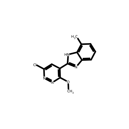 COc1nnc(Cl)cc1-c1nc2cccc(C)c2[nH]1